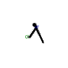 CCCCCCCCCCCCCCCCCC(CCCCCCCCCCCC)[N+](C)(C)Cc1ccccc1.[Cl-]